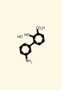 Cl.Nc1cccc(-c2cccc(C(=O)O)c2O)c1